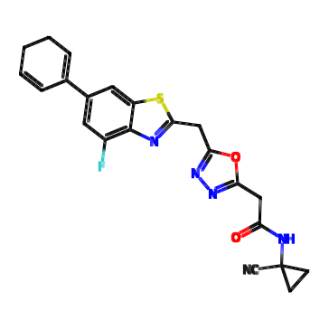 N#CC1(NC(=O)Cc2nnc(Cc3nc4c(F)cc(C5=CCCC=C5)cc4s3)o2)CC1